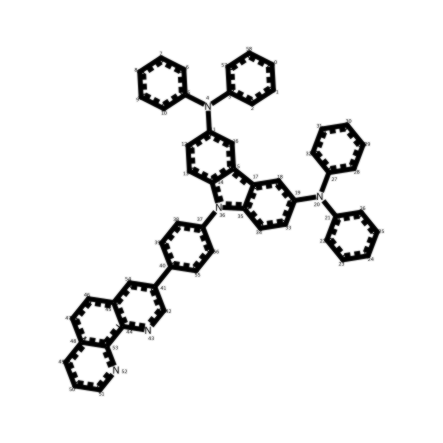 c1ccc(N(c2ccccc2)c2ccc3c(c2)c2cc(N(c4ccccc4)c4ccccc4)ccc2n3-c2ccc(-c3cnc4c(ccc5cccnc54)c3)cc2)cc1